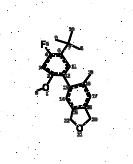 COc1cc(F)c(C(C)(C)C)cc1-c1cc2c(cc1C)COC2